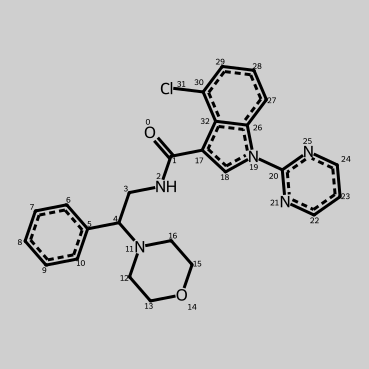 O=C(NCC(c1ccccc1)N1CCOCC1)c1cn(-c2ncccn2)c2cccc(Cl)c12